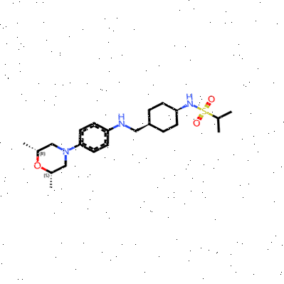 CC(C)S(=O)(=O)N[C@H]1CC[C@@H](CNc2ccc(N3C[C@@H](C)O[C@@H](C)C3)cc2)CC1